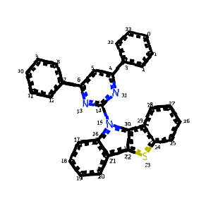 c1ccc(-c2cc(-c3ccccc3)nc(-n3c4ccccc4c4sc5ccccc5c43)n2)cc1